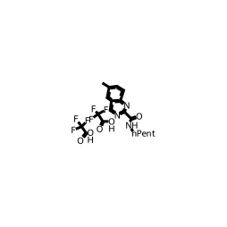 CCCCCNC(=O)c1ncc2cc(C)ccc2n1.O=C(O)C(F)(F)F.O=C(O)C(F)(F)F